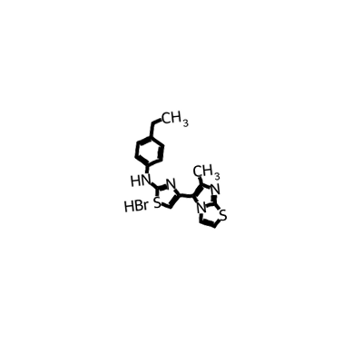 Br.CCc1ccc(Nc2nc(-c3c(C)nc4sccn34)cs2)cc1